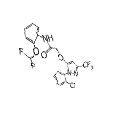 O=C(COc1cc(C(F)(F)F)nn1-c1ccccc1Cl)Nc1ccccc1OC(F)F